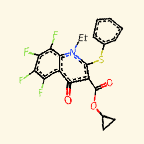 CCn1c(Sc2ccccc2)c(C(=O)OC2CC2)c(=O)c2c(F)c(F)c(F)c(F)c21